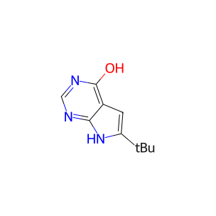 CC(C)(C)c1cc2c(O)ncnc2[nH]1